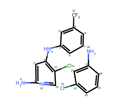 Nc1cc(Nc2cccc(C(F)(F)F)c2)c(Cl)cn1.Nc1cccc(Cl)c1